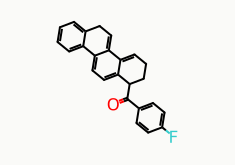 O=C(c1ccc(F)cc1)C1CCC=c2c1ccc1c2=CCc2ccccc2-1